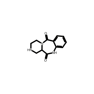 O=C1Nc2ccccc2C(=O)N2CCNCC12